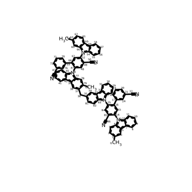 Cc1ccc2c(c1)c1ccccc1n2-c1cc(-c2cccc(C#N)c2)c(-n2c3ccccc3c3cc(Cc4cc5c6ccccc6n(-c6cc(C#N)c(-n7c8ccccc8c8ccc(C)cc87)cc6-c6cccc(C#N)c6)c5cc4C)ccc32)cc1C#N